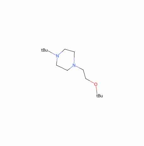 CC(C)(C)OCCN1CCN(C(C)(C)C)CC1